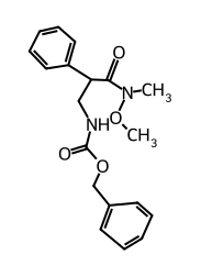 CON(C)C(=O)C(CNC(=O)OCc1ccccc1)c1ccccc1